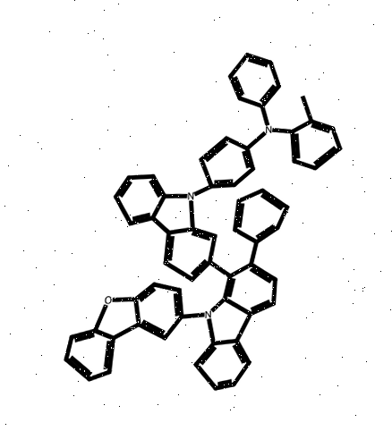 Cc1ccccc1N(c1ccccc1)c1ccc(-n2c3ccccc3c3ccc(-c4c(-c5ccccc5)ccc5c6ccccc6n(-c6ccc7oc8ccccc8c7c6)c45)cc32)cc1